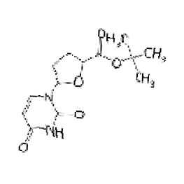 CC(C)(C)OC(=O)C1CCC(n2ccc(=O)[nH]c2=O)O1